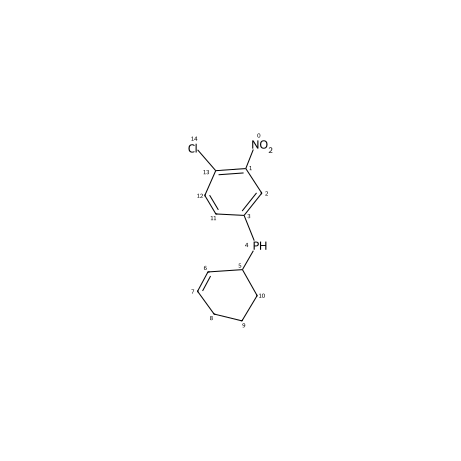 O=[N+]([O-])c1cc(PC2C=CCCC2)ccc1Cl